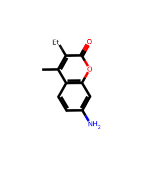 CCc1c(C)c2ccc(N)cc2oc1=O